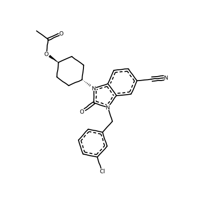 CC(=O)O[C@H]1CC[C@H](n2c(=O)n(Cc3cccc(Cl)c3)c3cc(C#N)ccc32)CC1